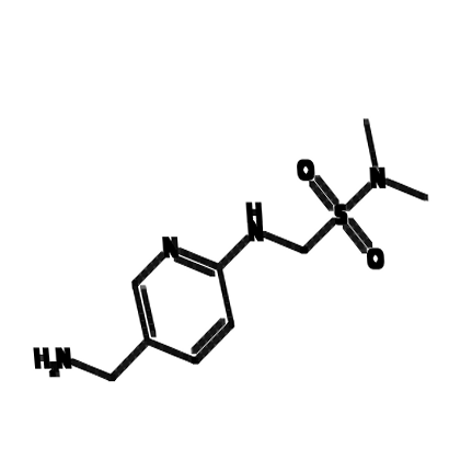 CN(C)S(=O)(=O)CNc1ccc(CN)cn1